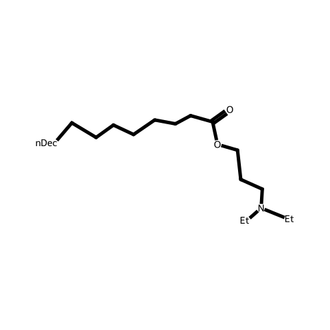 CCCCCCCCCCCCCCCCCC(=O)OCCCN(CC)CC